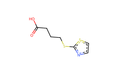 O=C(O)CCCSc1nccs1